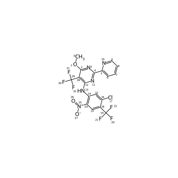 COc1nc(-c2ccccn2)nc(Nc2cc(Cl)c(C(F)(F)F)cc2[N+](=O)[O-])c1C(F)(F)F